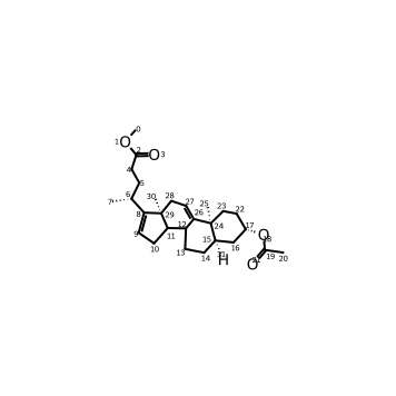 COC(=O)CC[C@@H](C)C1=CCC2C3CC[C@@H]4C[C@@H](OC(C)=O)CC[C@]4(C)C3=CC[C@]12C